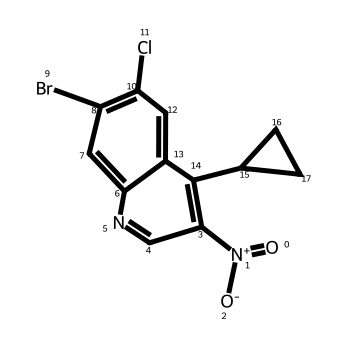 O=[N+]([O-])c1cnc2cc(Br)c(Cl)cc2c1C1CC1